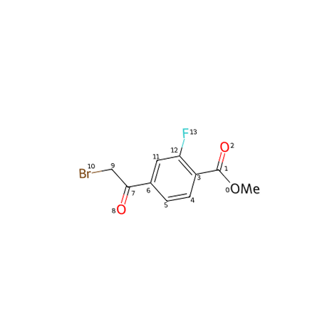 COC(=O)c1ccc(C(=O)CBr)cc1F